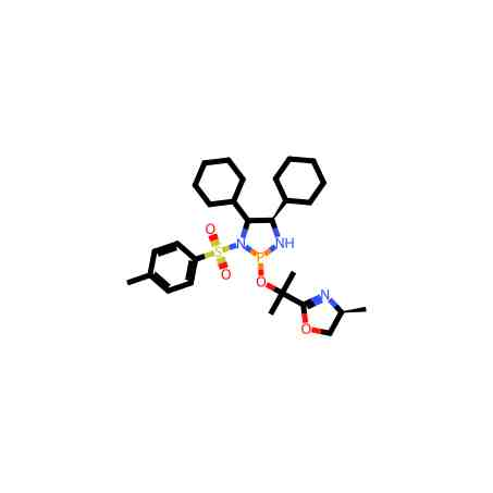 Cc1ccc(S(=O)(=O)N2C(C3CCCCC3)[C@@H](C3CCCCC3)NP2OC(C)(C)C2=N[C@@H](C)CO2)cc1